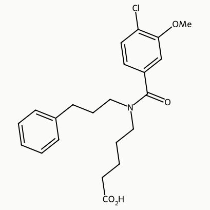 COc1cc(C(=O)N(CCCCC(=O)O)CCCc2ccccc2)ccc1Cl